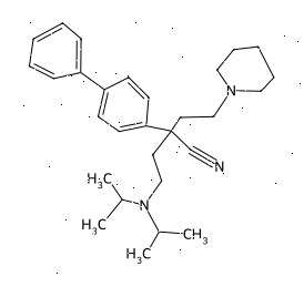 CC(C)N(CCC(C#N)(CCN1CCCCC1)c1ccc(-c2ccccc2)cc1)C(C)C